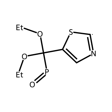 CCOC(OCC)(P=O)c1cn[c]s1